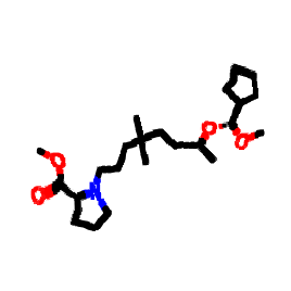 COC(=O)[C@@H]1CCCN1CCCC(C)(C)CCC(C)O[C@@H](OC)C1CCCC1